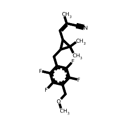 COCc1c(F)c(F)c(CC2C(C=C(C)C#N)C2(C)C)c(F)c1F